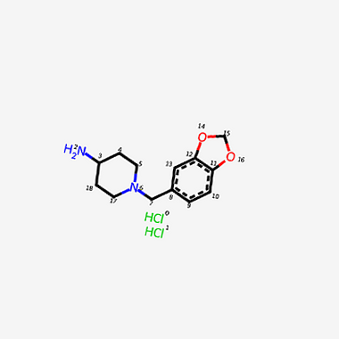 Cl.Cl.NC1CCN(Cc2ccc3c(c2)OCO3)CC1